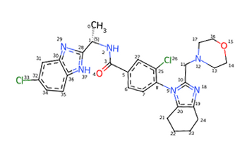 C[C@H](NC(=O)c1ccc(-n2c(CN3CCOCC3)nc3c2CCCC3)c(Cl)c1)c1nc2cc(Cl)ccc2[nH]1